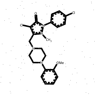 COc1ccccc1N1CCN(Cc2c(Cl)c(=O)n(-c3ccc(Cl)cc3)n2C)CC1